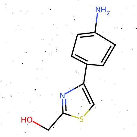 Nc1ccc(-c2csc(CO)n2)cc1